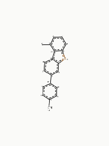 Cc1cccc2sc3cc(-c4ccc(C#N)cc4)ccc3c12